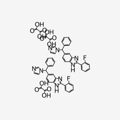 Fc1ccccc1-c1nc2cc(C(c3ccccc3)n3ccnc3)ccc2[nH]1.Fc1ccccc1-c1nc2cc(C(c3ccccc3)n3ccnc3)ccc2[nH]1.O=C(O)C(=O)O.O=C(O)C(=O)O.O=C(O)C(=O)O